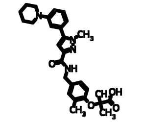 Cc1cc(CNC(=O)c2cc(-c3cccc(N4CCCCC4)c3)n(C)n2)ccc1OC(C)(C)C(=O)O